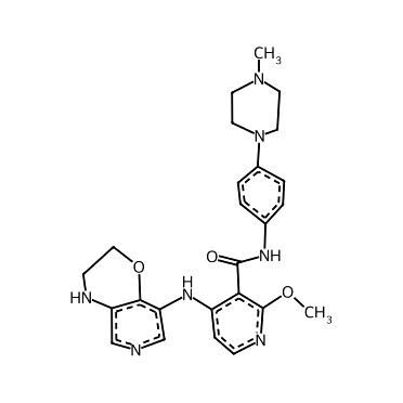 COc1nccc(Nc2cncc3c2OCCN3)c1C(=O)Nc1ccc(N2CCN(C)CC2)cc1